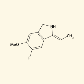 CC=C1NCc2cc(OC)c(F)cc21